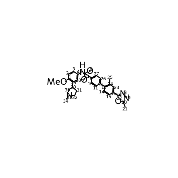 COc1ccc(NS(=O)(=O)c2ccc(-c3ccc(-c4nnc(C)o4)cc3C)cc2)cc1C1CCN(C)C1